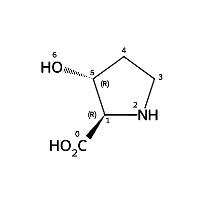 O=C(O)[C@@H]1NCC[C@H]1O